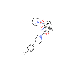 Cc1ccc(C2CCN(C(=O)Nc3c(F)cccc3N3CC4CCC(C3)N4C(=O)OC(C)(C)C)CC2)cc1